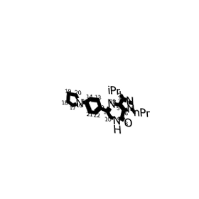 CCCn1nc(C(C)C)c2c1C(=O)NCC(c1ccc(N3CCCC3)cc1)=N2